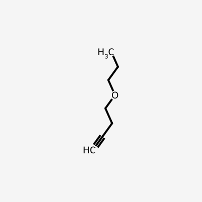 C#CCCOCCC